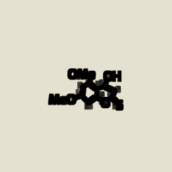 COc1cc(OC)c2c(O)cc(=S)oc2c1